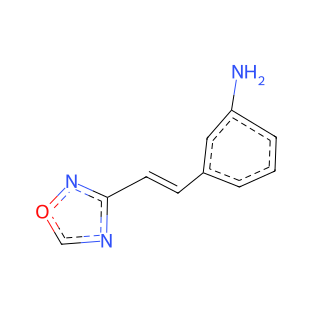 Nc1cccc(/C=C/c2ncon2)c1